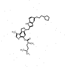 Cc1csc2c(OC(=O)N(C)CCN(C)C)cc3c(c12)CCN3Cc1cc2cc(OCCN3CCCC3)ccc2[nH]1